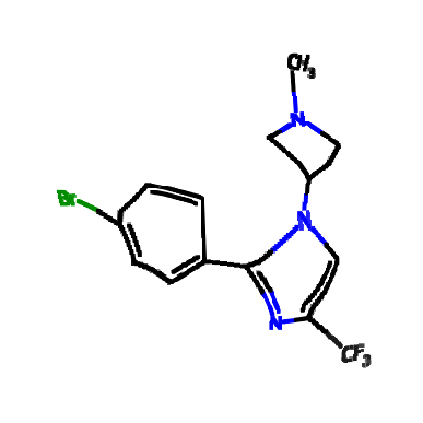 CN1CC(n2cc(C(F)(F)F)nc2-c2ccc(Br)cc2)C1